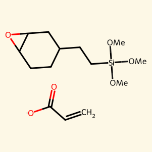 C=CC([O])=O.CO[Si](CCC1CCC2OC2C1)(OC)OC